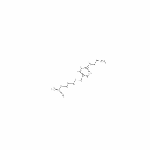 CCCOc1ccc(CCCCCCC(=O)O)cc1